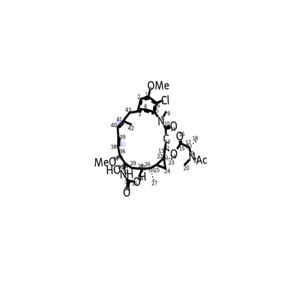 COc1cc2cc(c1Cl)N(C)C(=O)C[C@H](OC(=O)[C@H](C)N(C)C(C)=O)[C@@]1(C)CC1[C@H](C)[C@@H]1C[C@@](O)(NC(=O)O1)[C@H](OC)/C=C/C=C(\C)C2